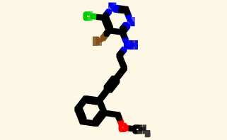 COCc1ccccc1C#CCCNc1ncnc(Cl)c1Br